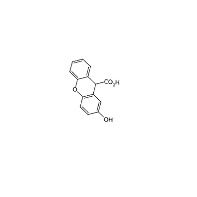 O=C(O)C1c2ccccc2Oc2ccc(O)cc21